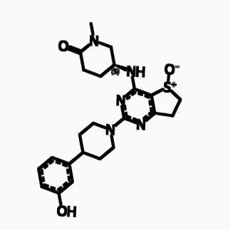 CN1C[C@@H](Nc2nc(N3CCC(c4cccc(O)c4)CC3)nc3c2[S+]([O-])CC3)CCC1=O